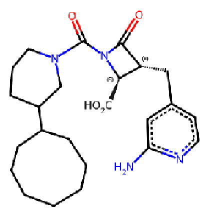 Nc1cc(C[C@H]2C(=O)N(C(=O)N3CCCC(C4CCCCCCC4)C3)[C@@H]2C(=O)O)ccn1